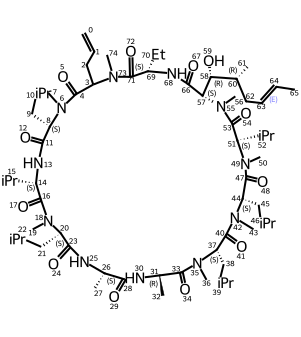 C=CCC1C(=O)N(C)[C@@H](CC(C)C)C(=O)N[C@@H](C(C)C)C(=O)N(C)[C@@H](CC(C)C)C(=O)N[C@@H](C)C(=O)N[C@H](C)C(=O)N(C)[C@@H](CC(C)C)C(=O)N(C)[C@@H](CC(C)C)C(=O)N(C)[C@@H](C(C)C)C(=O)N(C)[C@@H]([C@H](O)[C@H](C)C/C=C/C)C(=O)N[C@@H](CC)C(=O)N1C